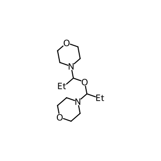 CCC(OC(CC)N1CCOCC1)N1CCOCC1